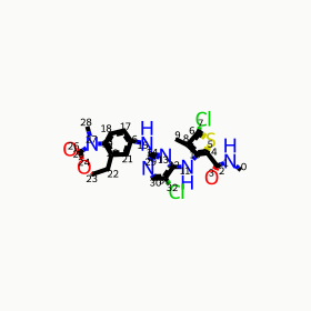 CNC(=O)c1sc(Cl)c(C)c1Nc1nc(Nc2ccc3c(c2)CCOC(=O)N3C)ncc1Cl